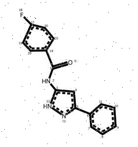 O=C(Nc1cc(-c2c[c]ccc2)n[nH]1)c1ccc(F)cc1